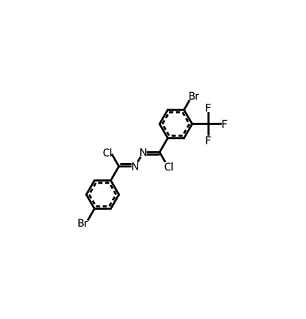 FC(F)(F)c1cc(C(Cl)=NN=C(Cl)c2ccc(Br)cc2)ccc1Br